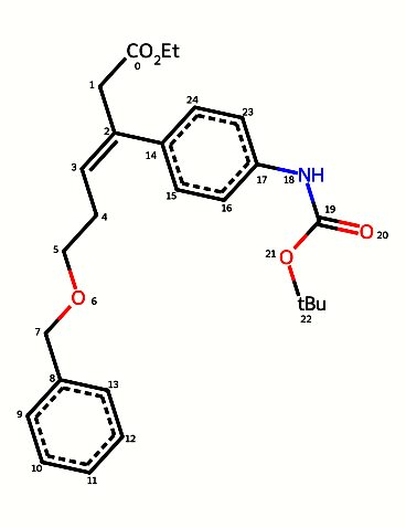 CCOC(=O)CC(=CCCOCc1ccccc1)c1ccc(NC(=O)OC(C)(C)C)cc1